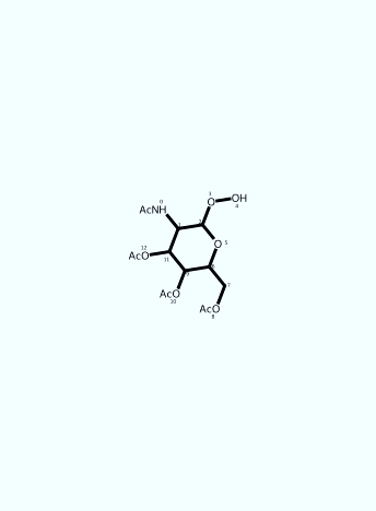 CC(=O)NC1C(OO)OC(COC(C)=O)C(OC(C)=O)C1OC(C)=O